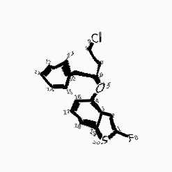 Fc1cc2c(O[C@H](CCCl)c3ccccc3)cccc2s1